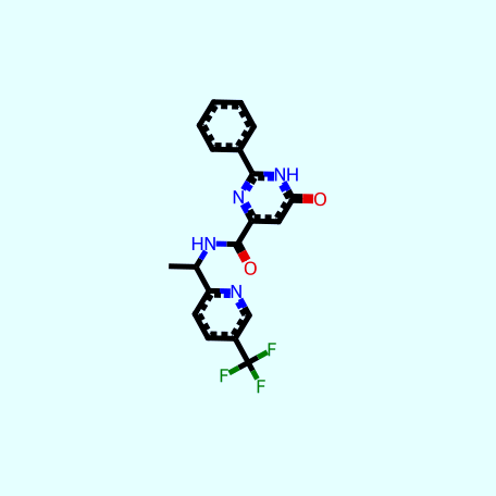 CC(NC(=O)c1cc(=O)[nH]c(-c2ccccc2)n1)c1ccc(C(F)(F)F)cn1